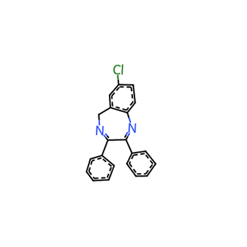 Clc1ccc2c(c1)CN=C(c1ccccc1)C(c1ccccc1)=N2